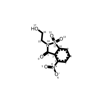 O=C1c2c([N+](=O)[O-])cccc2S(=O)(=O)N1CCO